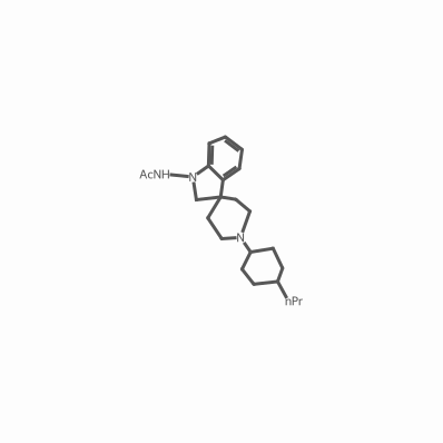 CCCC1CCC(N2CCC3(CC2)CN(NC(C)=O)c2ccccc23)CC1